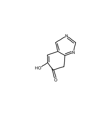 O=C1Cc2ncncc2C=C1O